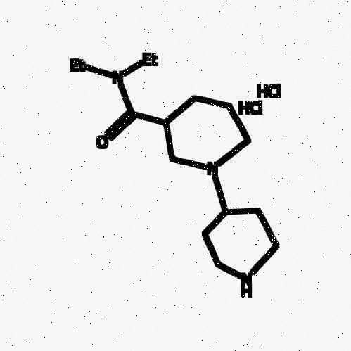 CCN(CC)C(=O)C1CCCN(C2CCNCC2)C1.Cl.Cl